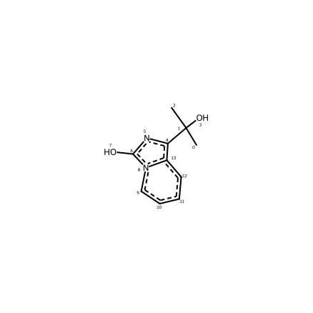 CC(C)(O)c1nc(O)n2ccccc12